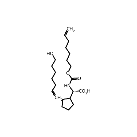 C=CCCCCCO.C=CCCCCCOC(=O)N[C@H](C(=O)O)C1CCCC1